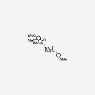 COc1ccc(C(=O)NCCn2cc(C(=O)NCc3ccc(SC)cc3)nn2)c(OC)c1OC